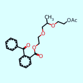 CC(=O)OCCOC(C)COCCOC(=O)c1ccccc1C(=O)c1ccccc1